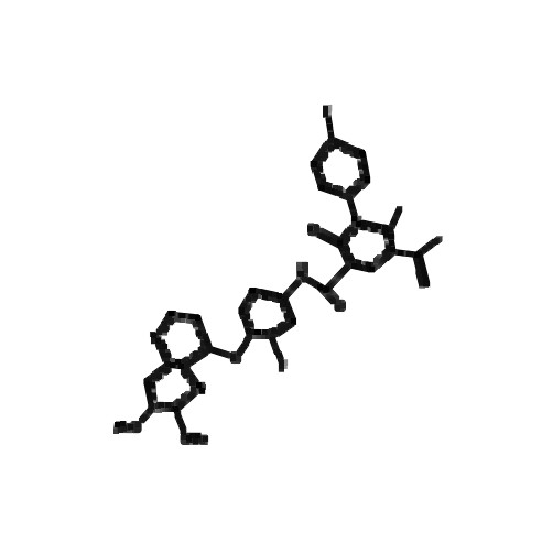 C=C(C)c1cc(C(=O)Nc2ccc(Oc3ccnc4cc(OC)c(OC)nc34)c(F)c2)c(=O)n(-c2ccc(F)cc2)c1C